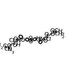 C=C(C)C(=O)OCCC(=O)/C(Cl)=C/C(=O)Nc1ccccc1Oc1ccc(S(=O)(=O)c2ccc(Oc3ccccc3NC(=O)/C=C(\Cl)C(=O)CCOC(=O)C(=C)C)cc2)cc1